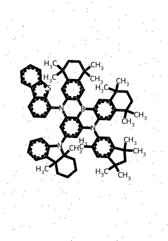 Cc1cc2c(cc1N1c3cc4c(cc3B3c5cc6c(cc5N(c5cccc7c5sc5ccccc57)c5cc(N7c8ccccc8C8(C)CCCCC78C)cc1c53)C(C)(C)CCC6(C)C)C(C)(C)CCC4(C)C)C(C)(C)CC2(C)C